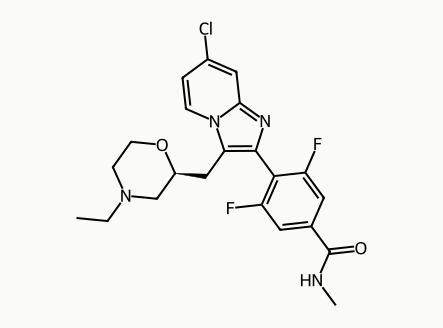 CCN1CCO[C@@H](Cc2c(-c3c(F)cc(C(=O)NC)cc3F)nc3cc(Cl)ccn23)C1